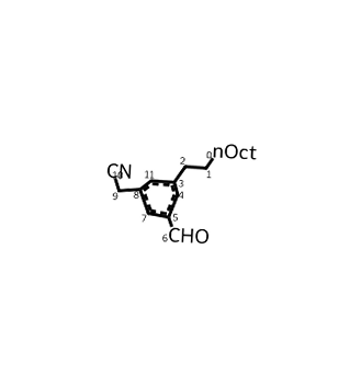 CCCCCCCCCCc1cc(C=O)cc(CC#N)c1